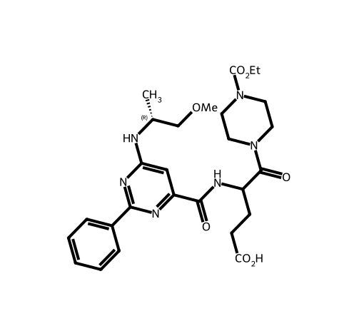 CCOC(=O)N1CCN(C(=O)C(CCC(=O)O)NC(=O)c2cc(N[C@H](C)COC)nc(-c3ccccc3)n2)CC1